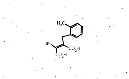 Cc1ccccc1C/C(C(=O)O)=C(/C(=O)O)C(C)C